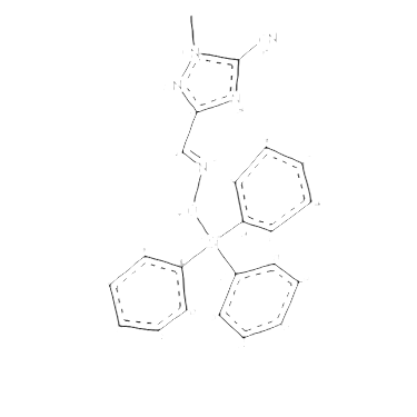 Cn1nc(C=NO[Si](c2ccccc2)(c2ccccc2)c2ccccc2)nc1C#N